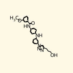 COc1cccc(C(=O)Nc2ccc(Nc3cccc(-n4cc(CCCO)nn4)c3)cc2)c1